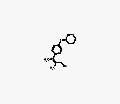 CC(CN)=C(C)c1ccc(SC2CCCCC2)cc1